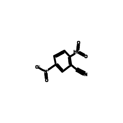 N#Cc1cc([N+](=O)[O-])ccc1[SH](=O)=O